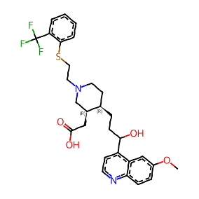 COc1ccc2nccc(C(O)CC[C@@H]3CCN(CCSc4ccccc4C(F)(F)F)C[C@@H]3CC(=O)O)c2c1